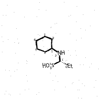 CC[C@@H](NC1CCCCC1)S(=O)(=O)O